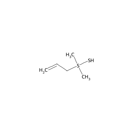 C=CCS(C)(C)S